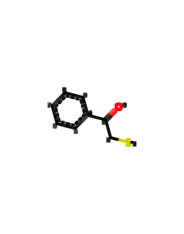 O=C(C[S])c1ccccc1